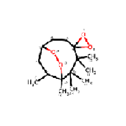 CC1CC2CCC3(OO3)C(C)(C)C(C)(C)C1(C)OO2